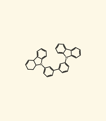 C1=CC2c3ccccc3N(c3cccc(-c4cccc(-n5c6ccccc6c6ccccc65)c4)c3)C2CC1